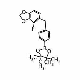 CC1(C)OB(c2ccc(Cc3ccc4c(c3F)OCO4)cc2)OC1(C)C